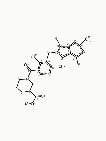 COC(=O)C1CCCN(C(=O)c2ccc(Cl)c(Cc3cc4c(C)cc(C(F)(F)F)cc4n3C)c2Cl)C1